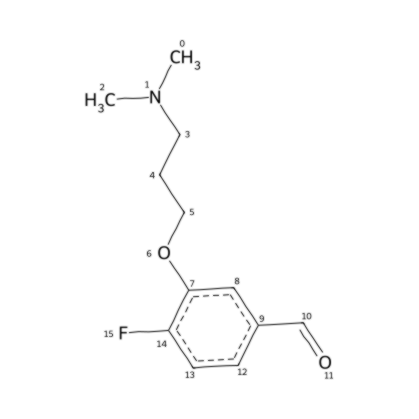 CN(C)CCCOc1cc(C=O)ccc1F